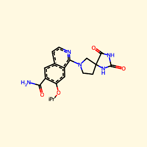 CC(C)Oc1cc2c(N3CCC4(C3)NC(=O)NC4=O)nccc2cc1C(N)=O